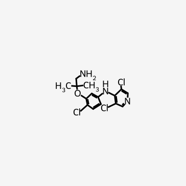 CC(C)(CN)Oc1cc(Nc2c(Cl)cncc2Cl)ccc1Cl